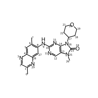 Cc1cnc2cc(C)c(Nc3ncc4c(n3)n(C3CCOCC3)c(=O)n4C)cc2n1